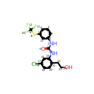 O=C(Nc1cccc(SC(F)(F)F)c1)Nc1cc(Cl)ccc1CCO